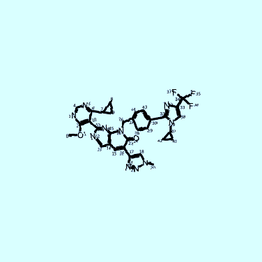 COc1ncnc(C2CC2)c1-c1ncc2cc(-c3cn(C)nn3)c(=O)n(Cc3ccc(-c4nc(C(F)(F)F)cn4C4CC4)cc3)c2n1